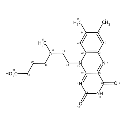 Cc1cc2nc3c(=O)[nH]c(=O)nc-3n(CCN(C)CCCC(=O)O)c2cc1C